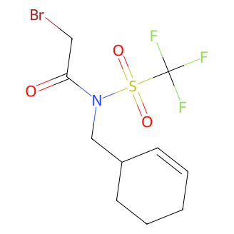 O=C(CBr)N(CC1C=CCCC1)S(=O)(=O)C(F)(F)F